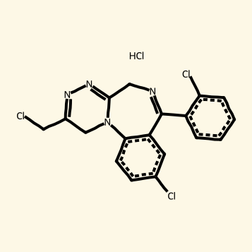 Cl.ClCC1=NN=C2CN=C(c3ccccc3Cl)c3cc(Cl)ccc3N2C1